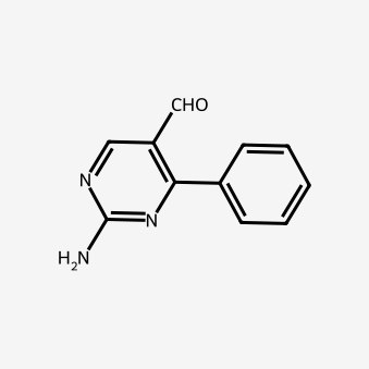 Nc1ncc(C=O)c(-c2ccccc2)n1